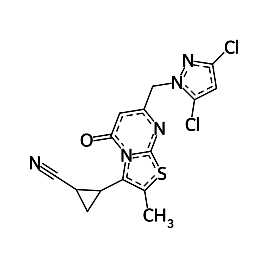 Cc1sc2nc(Cn3nc(Cl)cc3Cl)cc(=O)n2c1C1CC1C#N